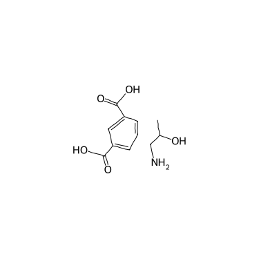 CC(O)CN.O=C(O)c1cccc(C(=O)O)c1